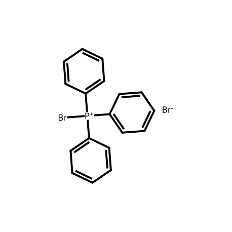 Br[P+](c1ccccc1)(c1ccccc1)c1ccccc1.[Br-]